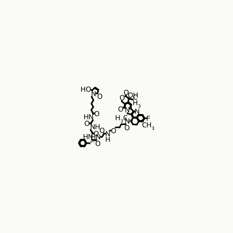 CC[C@@]1(O)C(=O)OCc2c1cc1n(c2=O)Cc2c-1nc1cc(F)c(C)c3c1c2[C@@H](N(C)C(=O)CCCOCNC(=O)CNC(=O)[C@H](Cc1ccccc1)NC(=O)CNC(=O)CNC(=O)CCCCCN1C(=O)C=CC1O)CC3